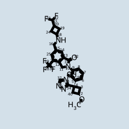 CO[C@H]1C[C@](c2cccc(N3Cc4c(cc(CNC5CC(C(F)F)C5)cc4C(F)(F)F)C3=O)c2)(c2nncn2C)C1